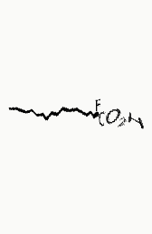 C/C=C/CCCCCCCCCCCC=C(F)C(=O)O